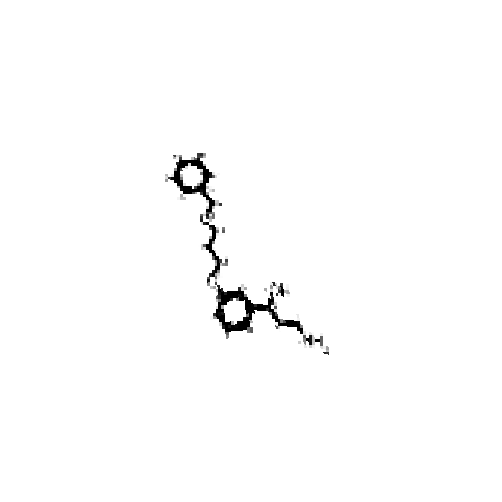 NCCC(O)c1cccc(OCCCOCc2ccccc2)c1